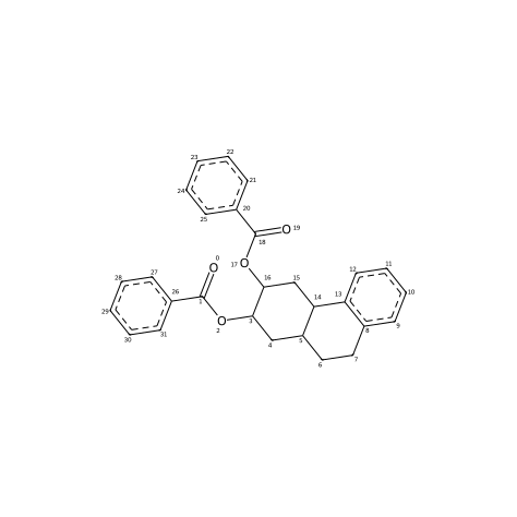 O=C(OC1CC2CCc3ccccc3C2CC1OC(=O)c1ccccc1)c1ccccc1